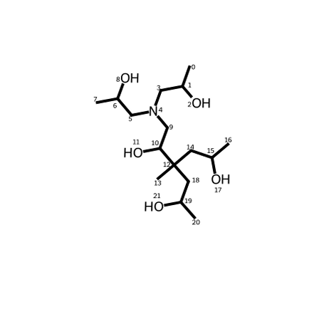 CC(O)CN(CC(C)O)CC(O)C(C)(CC(C)O)CC(C)O